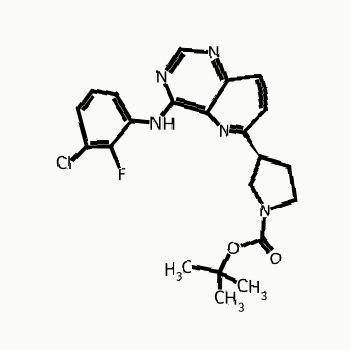 CC(C)(C)OC(=O)N1CC[C@H](c2ccc3ncnc(Nc4cccc(Cl)c4F)c3n2)C1